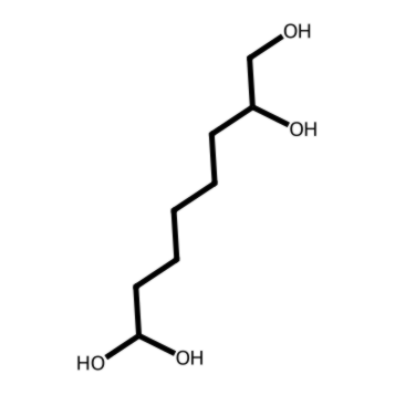 OCC(O)CCCCCC(O)O